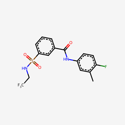 Cc1cc(NC(=O)c2cccc(S(=O)(=O)NCC(F)(F)F)c2)ccc1F